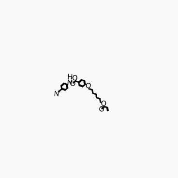 C=CC(=O)OCCCCCCCOc1ccc(C(=O)ONc2ccc(C#N)cc2)cc1